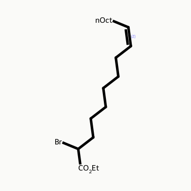 CCCCCCCC/C=C\CCCCCCC(Br)C(=O)OCC